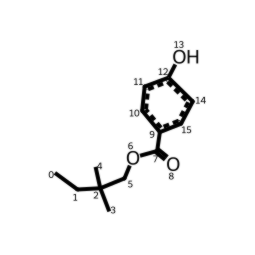 CCC(C)(C)COC(=O)c1ccc(O)cc1